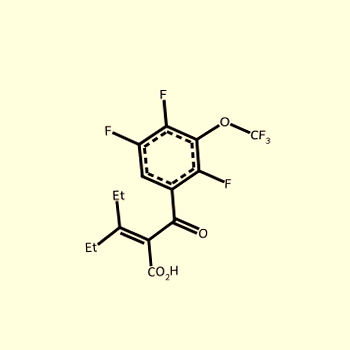 CCC(CC)=C(C(=O)O)C(=O)c1cc(F)c(F)c(OC(F)(F)F)c1F